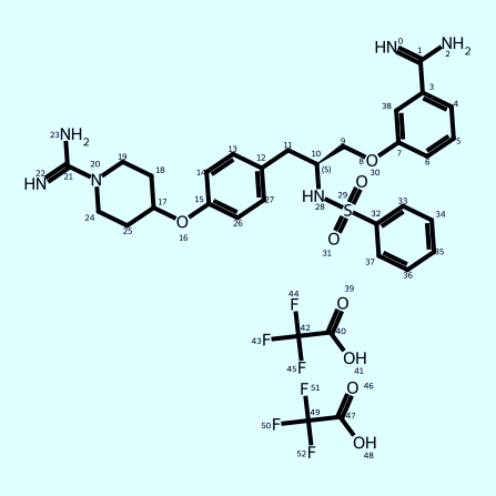 N=C(N)c1cccc(OC[C@H](Cc2ccc(OC3CCN(C(=N)N)CC3)cc2)NS(=O)(=O)c2ccccc2)c1.O=C(O)C(F)(F)F.O=C(O)C(F)(F)F